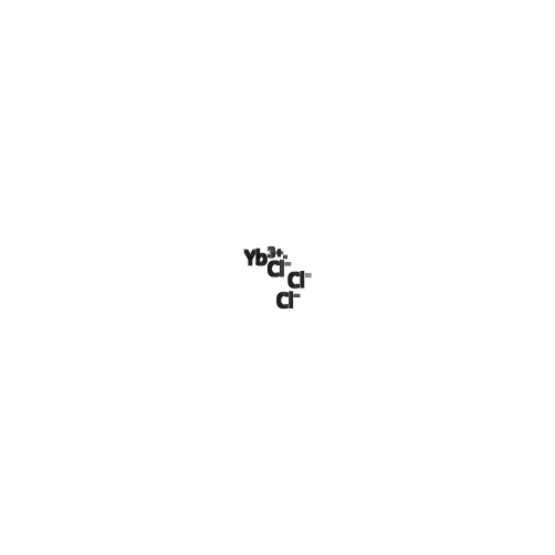 [Cl-].[Cl-].[Cl-].[Yb+3]